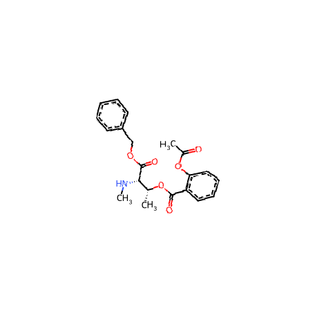 CN[C@H](C(=O)OCc1ccccc1)[C@@H](C)OC(=O)c1ccccc1OC(C)=O